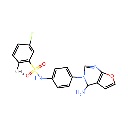 Cc1ccc(F)cc1S(=O)(=O)Nc1ccc(N2C=Nc3occc3C2N)cc1